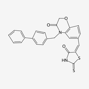 O=C1NC(=S)SC1=Cc1ccc2c(c1)N(Cc1ccc(-c3ccccc3)cc1)C(=O)CO2